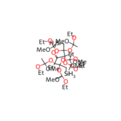 CCOC(C)(OC)OC(C[SiH3])(OC(C)(OC)OCC)C(CC)(OC(C)(OC)OCC)C(=O)C(CC)(OC(C)(OC)OCC)C(C[SiH3])(OC(C)(OC)OCC)OC(C)(OC)OCC